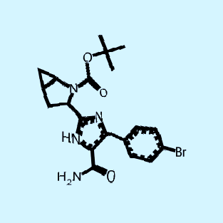 CC(C)(C)OC(=O)N1C(c2nc(-c3ccc(Br)cc3)c(C(N)=O)[nH]2)CC2CC21